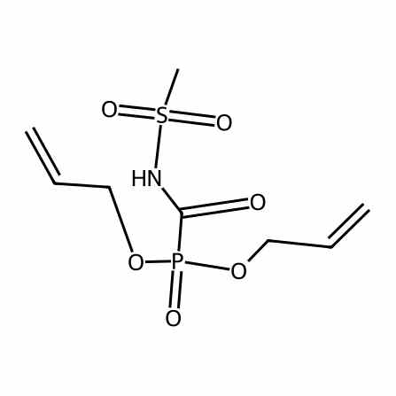 C=CCOP(=O)(OCC=C)C(=O)NS(C)(=O)=O